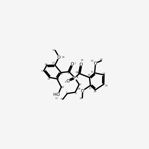 CCCCP(=O)(C(=O)c1c(CO)cccc1OC)C(=O)c1c(OC)cccc1OC